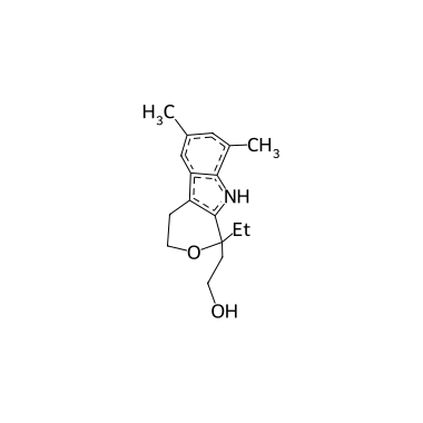 CCC1(CCO)OCCc2c1[nH]c1c(C)cc(C)cc21